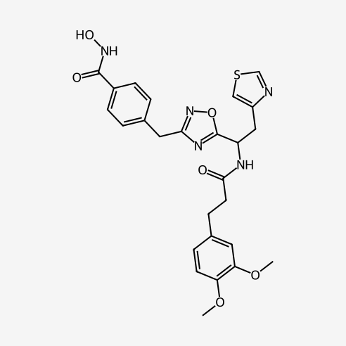 COc1ccc(CCC(=O)NC(Cc2cscn2)c2nc(Cc3ccc(C(=O)NO)cc3)no2)cc1OC